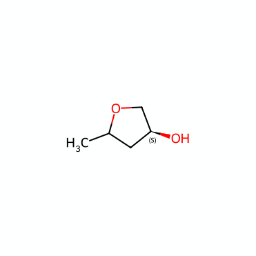 CC1C[C@H](O)CO1